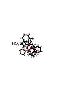 O=C(O)CN1CCC[C@@H]1c1nc2ccccc2n1[C@@H]1C[C@H]2CCC[C@@H](C1)N2[C@@H]1C[C@@H]2CCCC[C@@H](C2)C1